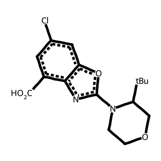 CC(C)(C)C1COCCN1c1nc2c(C(=O)O)cc(Cl)cc2o1